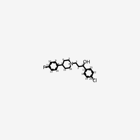 OC(CCN1CCC(c2ccc(F)cc2)CC1)c1ccc(Cl)cc1